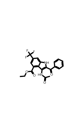 CCOC(=O)c1cc(C(F)(F)F)cc2[nH]c(C(=O)c3ccccc3)c(NC(C)=O)c12